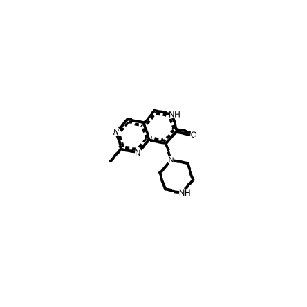 Cc1ncc2c[nH]c(=O)c(N3CCNCC3)c2n1